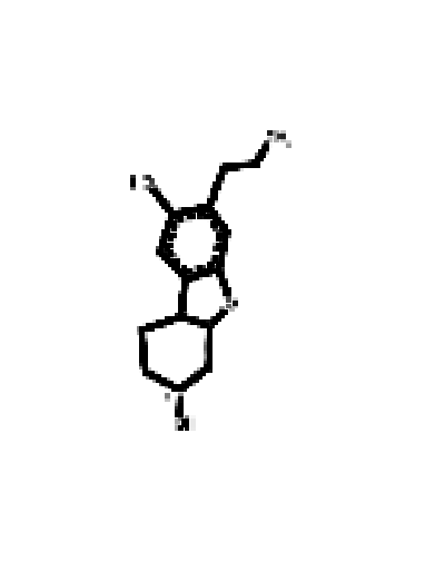 CCCc1cc2c(cc1O)C1CC[C@H](O)CC1O2